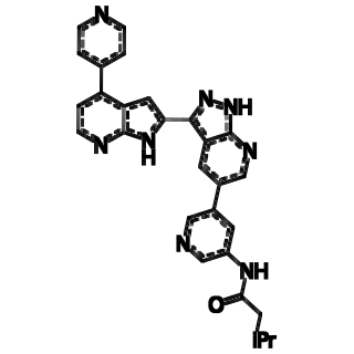 CC(C)CC(=O)Nc1cncc(-c2cnc3[nH]nc(-c4cc5c(-c6ccncc6)ccnc5[nH]4)c3c2)c1